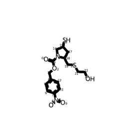 O=C(OCc1ccc([N+](=O)[O-])cc1)N1CC(S)CC1CSCCO